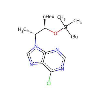 CCCCCC[C@@H](O[Si](C)(C)C(C)(C)C)[C@@H](C)n1cnc2c(Cl)ncnc21